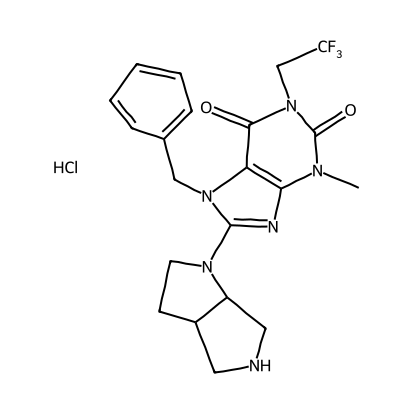 Cl.Cn1c(=O)n(CC(F)(F)F)c(=O)c2c1nc(N1CCC3CNCC31)n2Cc1ccccc1